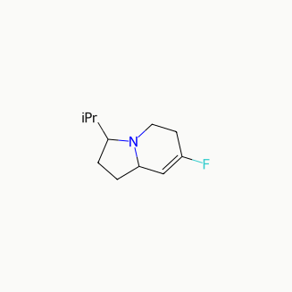 CC(C)C1CCC2C=C(F)CCN21